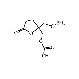 BOCC1(COC(C)=O)CCC(=O)O1